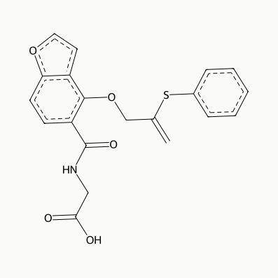 C=C(COc1c(C(=O)NCC(=O)O)ccc2occc12)Sc1ccccc1